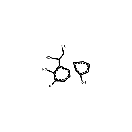 CCC(O)c1cccc(O)c1O.Oc1ccccc1